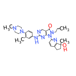 C=CCn1c(=O)c2cnc(Nc3ccc(N4CCN(C)CC4)c(C)c3)nc2n1-c1ccc2c(n1)[C@](C)(O)CC2